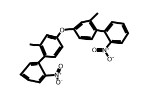 Cc1cc(Oc2ccc(-c3ccccc3[N+](=O)[O-])c(C)c2)ccc1-c1ccccc1[N+](=O)[O-]